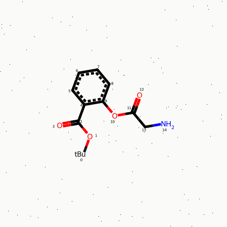 CC(C)(C)OC(=O)c1ccccc1OC(=O)CN